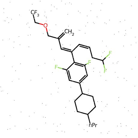 C=C(/C=C(\C=C/CC(F)F)c1c(F)cc(C2CCC(CCC)CC2)cc1F)COCC(F)(F)F